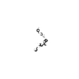 COc1nc(-c2ccnc(-c3cccc(NC(=O)c4nc5c(n4C)CCN(CC4CCC(O)CC4)C5)c3Cl)c2Cl)ccc1CNCC1CCC(=O)N1